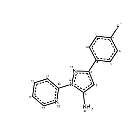 Nc1cc(-c2ccc(F)cc2)nn1-c1ccccn1